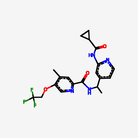 Cc1cc(C(=O)NC(C)c2ccnc(NC(=O)C3CC3)c2)ncc1OCC(F)(F)F